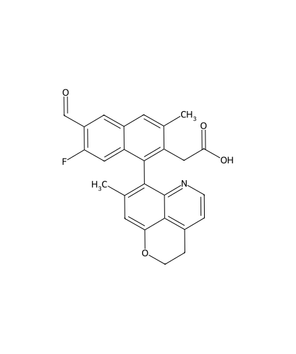 Cc1cc2cc(C=O)c(F)cc2c(-c2c(C)cc3c4c(ccnc24)CCO3)c1CC(=O)O